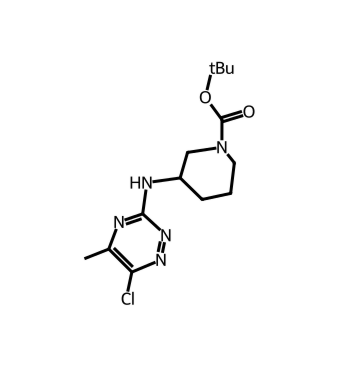 Cc1nc(NC2CCCN(C(=O)OC(C)(C)C)C2)nnc1Cl